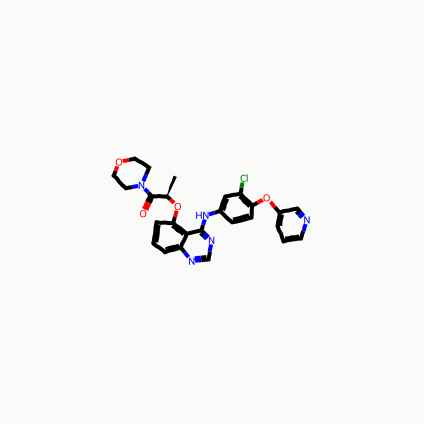 C[C@@H](Oc1cccc2ncnc(Nc3ccc(Oc4cccnc4)c(Cl)c3)c12)C(=O)N1CCOCC1